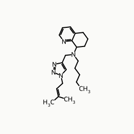 CCCCCN(Cc1cn(CC=C(C)C)nn1)C1CCCc2cccnc21